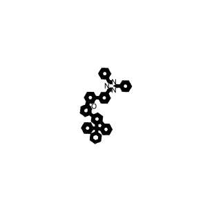 c1ccc(-c2nc(-c3ccccc3)nc(-c3cccc(-c4cccc5c4oc4c(-c6ccc7c(c6)C(c6ccccc6)(C6CCCCC6)c6ccccc6-7)cccc45)c3)n2)cc1